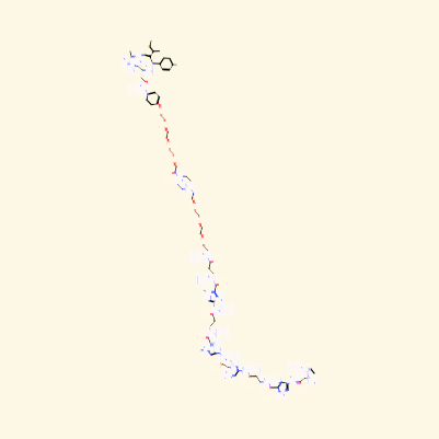 Cc1sc2c(c1C)C(c1ccc(Cl)cc1)=N[C@@H](CC(=O)Nc1ccc(OCCOCCOCCOCC(=O)N3CCN(CCOCCOCCOCCNC(=O)CCNC(=O)c4nc(NC(=O)CCNC(=O)c5nc(NC(=O)c6nc(NC(=O)CCNC(=O)c7cc(NC(=O)c8nccn8C)cn7C)cn6C)cn5C)cn4C)CC3)cc1)c1nnc(C)n1-2